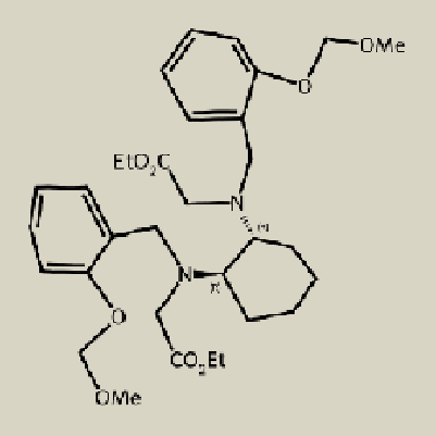 CCOC(=O)CN(Cc1ccccc1OCOC)[C@@H]1CCCC[C@H]1N(CC(=O)OCC)Cc1ccccc1OCOC